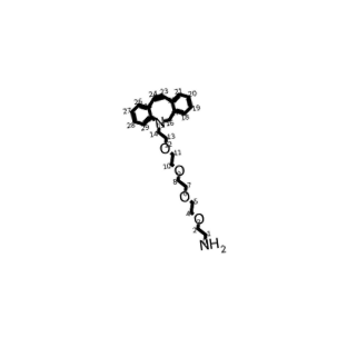 NCCOCCOCCOCCOCCN1Cc2ccccc2C#Cc2ccccc21